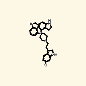 Clc1ccc2c(CCN3CC[N+](c4cccc5c4CCN5)(c4cccc5c4CCN5)CC3)c[nH]c2c1